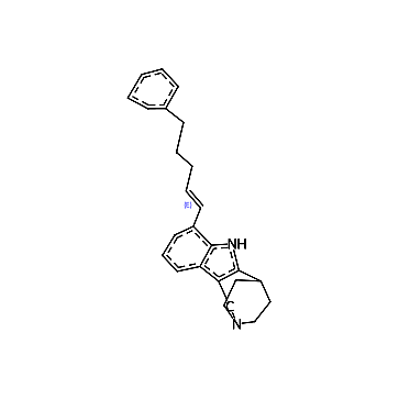 C(=C\c1cccc2c3c([nH]c12)C1CCN(CC1)C3)/CCCc1ccccc1